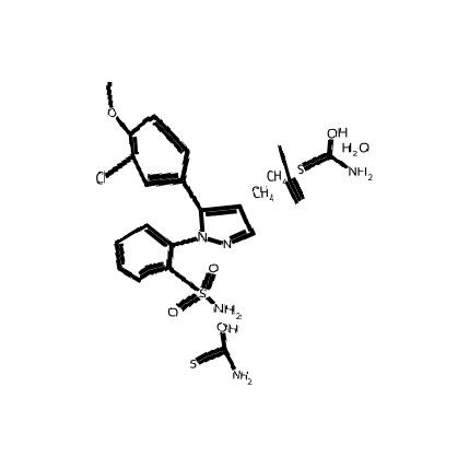 C.C.C#CC.COc1ccc(-c2ccnn2-c2ccccc2S(N)(=O)=O)cc1Cl.NC(O)=S.NC(O)=S.O